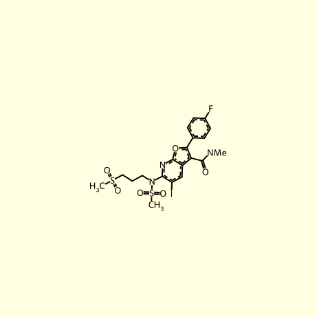 CNC(=O)c1c(-c2ccc(F)cc2)oc2nc(N(CCCS(C)(=O)=O)S(C)(=O)=O)c(I)cc12